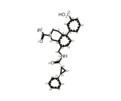 CC(C)C(=O)N1CCc2c(-c3cccc(C(=O)O)c3)ccc(CNC(=O)[C@@H]3C[C@H]3c3ccccc3)c2C1